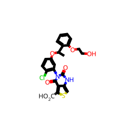 CC(Oc1ccc(Cl)c(-n2c(=O)[nH]c3csc(C(=O)O)c3c2=O)c1)c1ccccc1OCCO